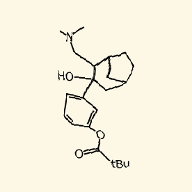 CN(C)CC1C2CCC(C2)CC1(O)c1cccc(OC(=O)C(C)(C)C)c1